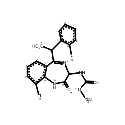 CC(C)(C)OC(=O)NC1N=C(C(C(=O)O)c2ccccc2F)c2cccc(Cl)c2NC1=O